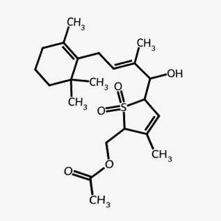 CC(=O)OCC1C(C)=CC(C(O)/C(C)=C/CC2=C(C)CCCC2(C)C)S1(=O)=O